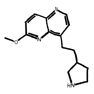 COc1ccc2nccc(CCC3CCNC3)c2n1